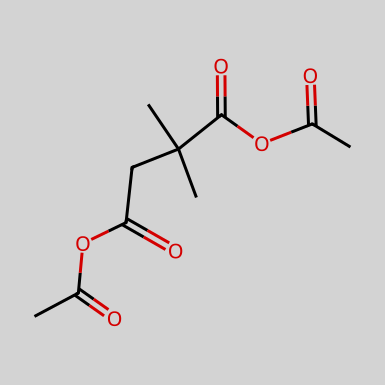 CC(=O)OC(=O)CC(C)(C)C(=O)OC(C)=O